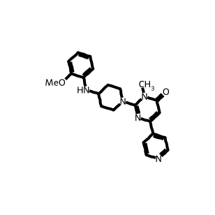 COc1ccccc1NC1CCN(c2nc(-c3ccncc3)cc(=O)n2C)CC1